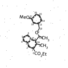 CCOC(=O)c1cc2cccn2c(C(C)OCc2cccc(OC)c2)c1C